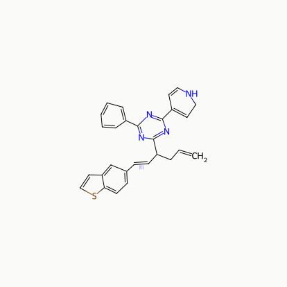 C=CCC(/C=C/c1ccc2sccc2c1)c1nc(C2=CCNC=C2)nc(-c2ccccc2)n1